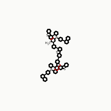 CC1C=CC(N(c2ccc(-c3cccc4ccccc34)cc2)c2ccccc2-c2cccc3sc4ccccc4c23)=CC1c1cccc(-c2cccc3c2sc2cc(-c4ccc5c(c4)sc4cccc(-c6ccccc6N(c6ccc(-c7cccc8ccccc78)cc6)c6cccc(-c7ccc8c(c7)sc7ccccc78)c6)c45)ccc23)c1